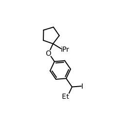 CCC(I)c1ccc(OC2(C(C)C)CCCC2)cc1